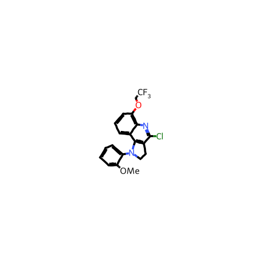 COc1ccccc1N1CCc2c(Cl)nc3c(OCC(F)(F)F)cccc3c21